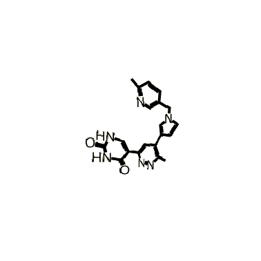 Cc1ccc(Cn2ccc(-c3cc(-c4c[nH]c(=O)[nH]c4=O)nnc3C)c2)cn1